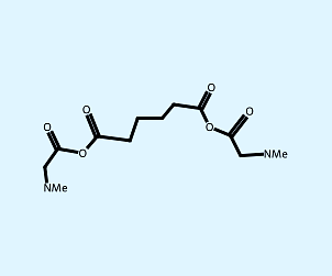 CNCC(=O)OC(=O)CCCCC(=O)OC(=O)CNC